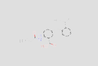 CCC(=O)Nc1ccc(Sc2ccccc2C(C)C)cc1C(=O)O